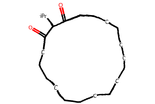 C[C](C)C1C(=O)CCCCCCCCCCCCCCCCC1=O